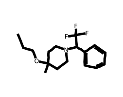 CCCOC1(C)CCN(C(c2ccccc2)C(F)(F)F)CC1